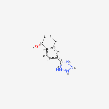 O=C1CCCc2cc(-c3nnn[nH]3)ccc21